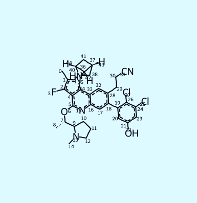 Cc1c(F)c2c(O[C@@H](C)C3CCCN3C)nc3cc(-c4cc(O)cc(Cl)c4Cl)c(CCC#N)cc3c2n1[C@H]1[C@H]2CN[C@@H]1C2